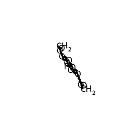 C=CC(=O)OCCCCCCOc1ccc(C(=O)Oc2ccc(OC(=O)c3ccc(OCCCOC(=O)C=C)cc3)c(F)c2)cc1